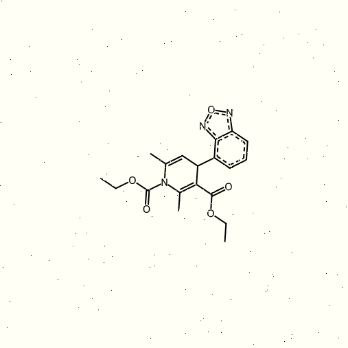 CCOC(=O)C1=C(C)N(C(=O)OCC)C(C)=CC1c1cccc2nonc12